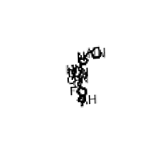 CCN(C)C(=O)c1c(Nc2ccc(CN3CCN(C)CC3)nc2)ncnc1Oc1ccc2[nH]c(C)cc2c1F